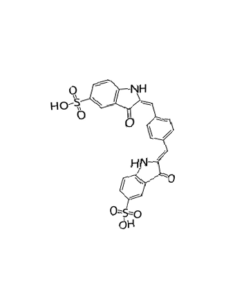 O=C1C(=Cc2ccc(C=C3Nc4ccc(S(=O)(=O)O)cc4C3=O)cc2)Nc2ccc(S(=O)(=O)O)cc21